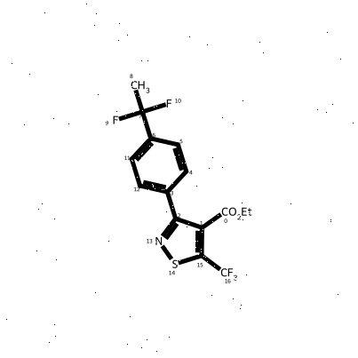 CCOC(=O)c1c(-c2ccc(C(C)(F)F)cc2)nsc1C(F)(F)F